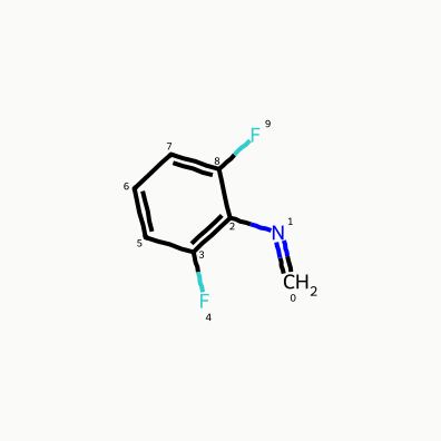 C=Nc1c(F)cccc1F